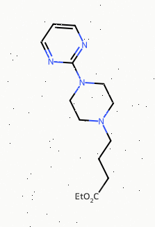 CCOC(=O)CCCN1CCN(c2ncccn2)CC1